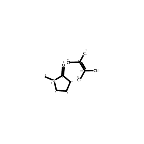 CN1CCCC1=O.ClC(Cl)=C(Cl)Cl